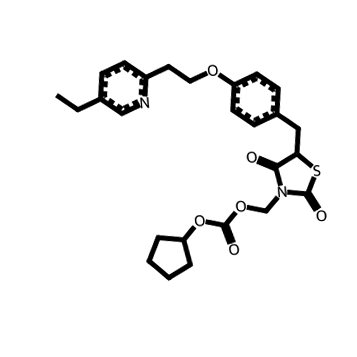 CCc1ccc(CCOc2ccc(CC3SC(=O)N(COC(=O)OC4CCCC4)C3=O)cc2)nc1